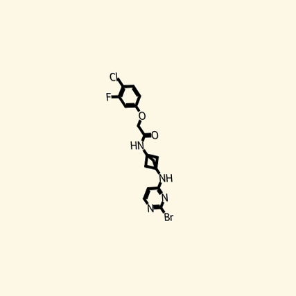 O=C(COc1ccc(Cl)c(F)c1)NC12CC(Nc3ccnc(Br)n3)(C1)C2